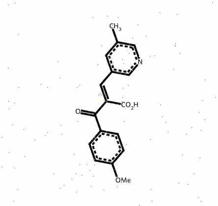 COc1ccc(C(=O)/C(=C/c2cncc(C)c2)C(=O)O)cc1